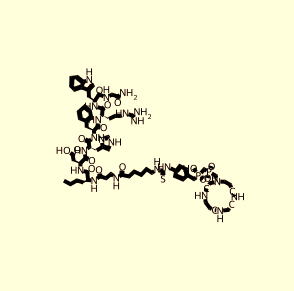 CCCC[C@H](NC(=O)CCNC(=O)CCCCCNC(=S)Nc1ccc(CP(=O)(O)CP(=O)(O)CN2CCCNCCNCCCNCC2)cc1)C(=O)N[C@@H](CC(=O)O)C(=O)N[C@@H](Cc1c[nH]cn1)C(=O)N[C@@H](Cc1ccccc1)C(=O)N[C@@H](CCCNC(=N)N)C(=O)N[C@@H](Cc1c[nH]c2ccccc12)C(=O)NCC(N)=O